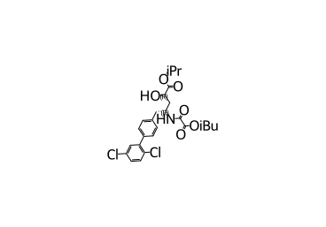 CC(C)COC(=O)C(=O)N[C@H](Cc1ccc(-c2cc(Cl)ccc2Cl)cc1)C[C@@H](O)C(=O)OC(C)C